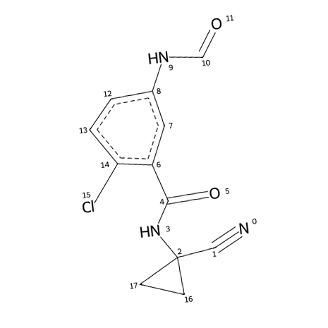 N#CC1(NC(=O)c2cc(NC=O)ccc2Cl)CC1